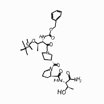 C[C@@H](O)[C@H](NC(=O)[C@H]1CCCN1C(=O)[C@@H]1CCN(C(=O)[C@@H](NC(=O)OCc2ccccc2)[C@@H](C)O[Si](C)(C)C(C)(C)C)C1)C(N)=O